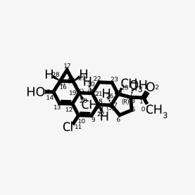 CC(=O)[C@@]1(O)CC[C@H]2[C@@H]3C=C(Cl)C4=CC(O)[C@@H]5C[C@@H]5[C@]4(C)[C@H]3CC[C@@]21C